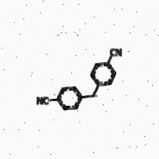 N#Cc1ccc([CH]c2ccc(C#N)cc2)cc1